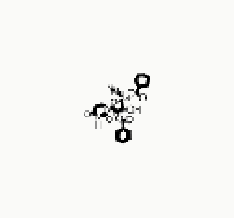 [N-]=[N+]=N[C@]1(COC(=O)c2ccccc2)OC(n2ccc(=O)[nH]c2=O)[C@H](OC(=O)c2ccccc2)[C@@H]1O